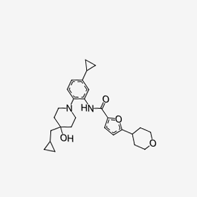 O=C(Nc1cc(C2CC2)ccc1N1CCC(O)(CC2CC2)CC1)c1ccc(C2CCOCC2)o1